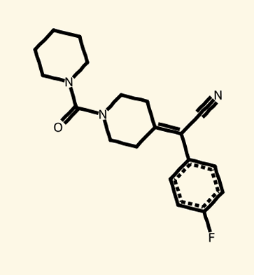 N#CC(=C1CCN(C(=O)N2CCCCC2)CC1)c1ccc(F)cc1